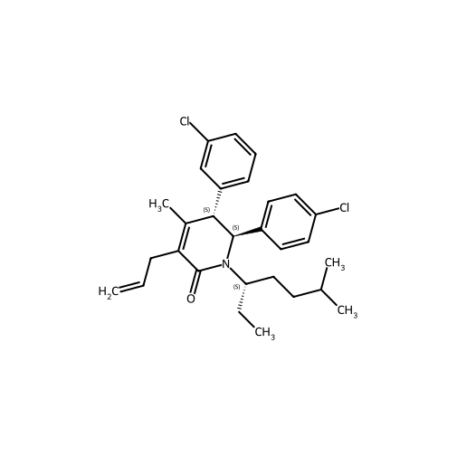 C=CCC1=C(C)[C@H](c2cccc(Cl)c2)[C@@H](c2ccc(Cl)cc2)N([C@@H](CC)CCC(C)C)C1=O